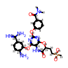 CN(C)C(=O)c1cccc(Oc2nc(Oc3cc(C(=N)N)ccc3N)c3c(n2)OC(CCS(C)(=O)=O)C(=O)N3)c1